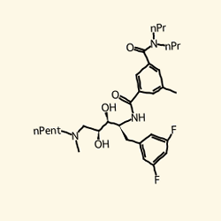 CCCCCN(C)C[C@H](O)[C@@H](O)[C@H](Cc1cc(F)cc(F)c1)NC(=O)c1cc(C)cc(C(=O)N(CCC)CCC)c1